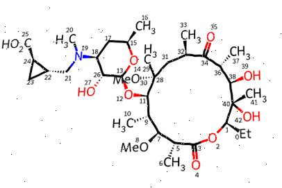 CC[C@H]1OC(=O)[C@H](C)[C@@H](OC)[C@H](C)[C@@H](O[C@@H]2O[C@H](C)C[C@H](N(C)C[C@@H]3C[C@H]3C(=O)O)[C@H]2O)[C@](C)(OC)C[C@@H](C)C(=O)[C@H](C)[C@@H](O)[C@]1(C)O